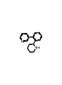 [c]1cccc(C2CCCCN2)c1-c1cccnc1